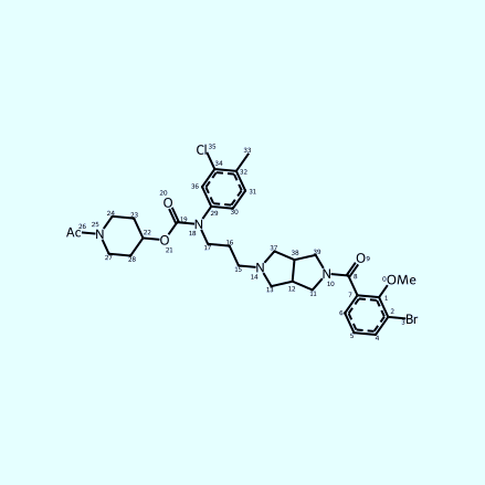 COc1c(Br)cccc1C(=O)N1CC2CN(CCCN(C(=O)OC3CCN(C(C)=O)CC3)c3ccc(C)c(Cl)c3)CC2C1